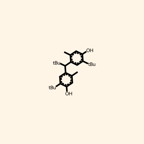 Cc1cc(O)c(C(C)(C)C)cc1C(c1cc(C(C)(C)C)c(O)cc1C)C(C)(C)C